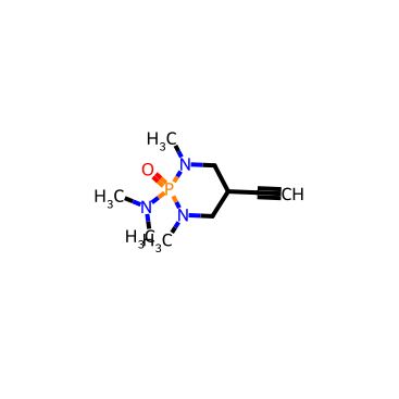 C#CC1CN(C)P(=O)(N(C)C)N(C)C1